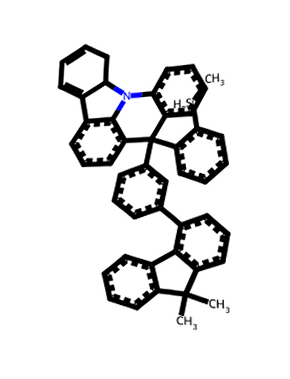 C[SiH2]c1ccccc1C1(c2cccc(-c3cccc4c3-c3ccccc3C4(C)C)c2)c2ccccc2N2c3c(cccc31)C1=CC=CCC12